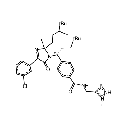 CC(CCC1(C)N=C(c2cccc(Cl)c2)C(=O)N1[C@H](CCC(C)(C)C)c1ccc(C(=O)NCc2n[nH]n2C)cc1)C(C)(C)C